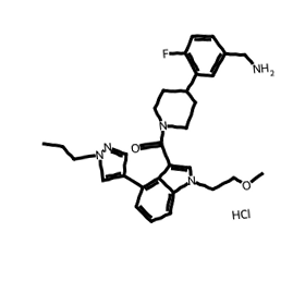 CCCn1cc(-c2cccc3c2c(C(=O)N2CCC(c4cc(CN)ccc4F)CC2)cn3CCOC)cn1.Cl